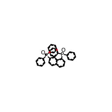 O=P(c1ccccc1)(c1ccccc1)c1ccc2cccc(P(=O)(c3ccccc3)c3ccccc3)c2c1